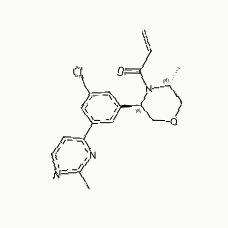 C=CC(=O)N1[C@H](C)COC[C@H]1c1cc(Cl)cc(-c2ccnc(C)n2)c1